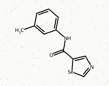 Cc1cccc(NC(=O)c2cnc[se]2)c1